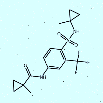 CC1(NS(=O)(=O)c2ccc(NC(=O)C3(C)CC3)cc2C(F)(F)F)CC1